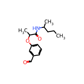 CCCC(C)NC(=O)C(C)Oc1cccc(C=O)c1